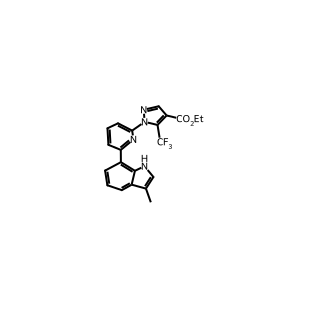 CCOC(=O)c1cnn(-c2cccc(-c3cccc4c(C)c[nH]c34)n2)c1C(F)(F)F